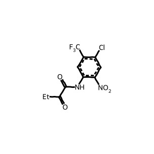 CCC(=O)C(=O)Nc1cc(C(F)(F)F)c(Cl)cc1[N+](=O)[O-]